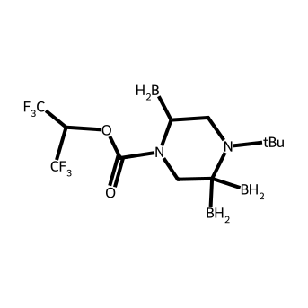 BC1CN(C(C)(C)C)C(B)(B)CN1C(=O)OC(C(F)(F)F)C(F)(F)F